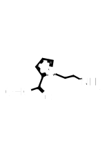 NCCn1cccc1C(=O)C=O